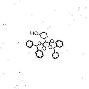 O=C(OC(c1ccccc1)c1ccccc1)C(C(=O)OC(c1ccccc1)c1ccccc1)C1CCCC(O)C1